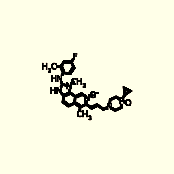 Cc1cc(F)ccc1NC1Nc2ccc3c(C)c(C=CCN4CCP(=O)(C5CC5)CC4)[n+]([O-])cc3c2N1C